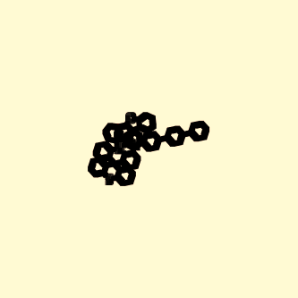 c1ccc(-c2ccc(-c3ccc(N(c4cccc5c4[Si](c4ccccc4)(c4ccccc4)c4ccccc4C54c5ccccc5Sc5ccccc54)c4cccc5oc6ccccc6c45)cc3)cc2)cc1